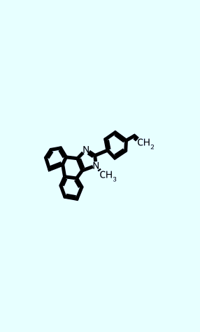 C=Cc1ccc(-c2nc3c4ccccc4c4ccccc4c3n2C)cc1